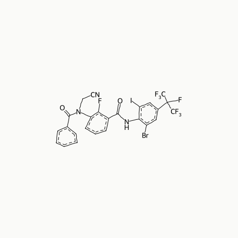 N#CCN(C(=O)c1ccccc1)c1cccc(C(=O)Nc2c(Br)cc(C(F)(C(F)(F)F)C(F)(F)F)cc2I)c1F